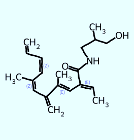 C=C/C=C\C(C)=C/C(=C)/C(C)=C/C(=C\C)C(=O)NCC(C)CO